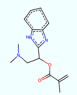 C=C(C)C(=O)OC(CN(C)C)c1nc2ccccc2[nH]1